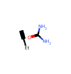 C#CCC.NC(N)=O